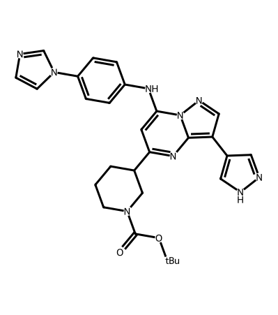 CC(C)(C)OC(=O)N1CCCC(c2cc(Nc3ccc(-n4ccnc4)cc3)n3ncc(-c4cn[nH]c4)c3n2)C1